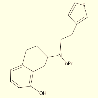 CCCN(CCc1ccsc1)C1CCc2cccc(O)c2C1